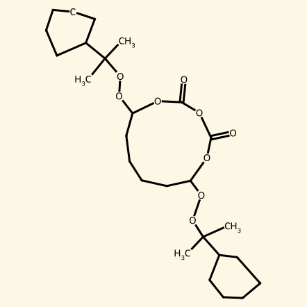 CC(C)(OOC1CCCCC(OOC(C)(C)C2CCCCC2)OC(=O)OC(=O)O1)C1CCCCC1